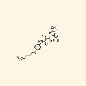 CCCCCOc1ccc(NC(=O)N(S)C(=O)c2nc(C)oc2C(F)(F)F)cc1